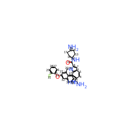 N=C(N)c1ccc2cc(C(=O)N[C@H]3CC[C@H](N)CC3)n(Cc3cc(Oc4ccccc4F)cc4ccccc34)c2c1